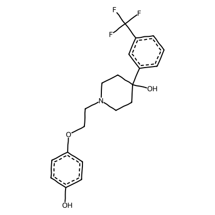 Oc1ccc(OCCN2CCC(O)(c3cccc(C(F)(F)F)c3)CC2)cc1